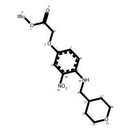 CC(C)(C)OC(=O)COc1ccc(NCC2CCOCC2)c([N+](=O)[O-])c1